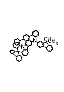 CC1(C)c2ccccc2-c2ccc(N(c3ccc4c(c3)c3cccc5c3n4-c3ccccc3C53c4ccccc4-c4ccccc43)c3ccccc3-c3ccc(-c4ccccc4)cc3)cc21